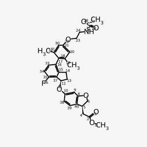 COC(=O)C[C@@H]1COc2cc(O[C@@H]3CCc4c(-c5c(C)cc(OCCNS(C)(=O)=O)cc5C)ccc(F)c43)ccc21